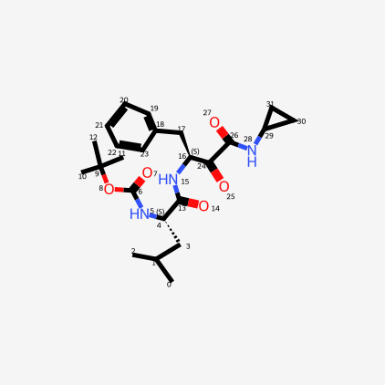 CC(C)C[C@H](NC(=O)OC(C)(C)C)C(=O)N[C@@H](Cc1ccccc1)C(=O)C(=O)NC1CC1